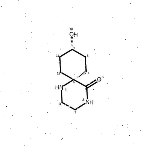 O=C1NCCN[C@]12CC[C@@H](O)CC2